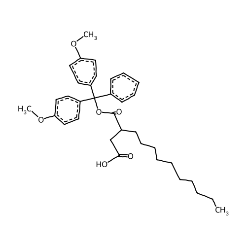 CCCCCCCCCCC(CC(=O)O)C(=O)OC(c1ccccc1)(c1ccc(OC)cc1)c1ccc(OC)cc1